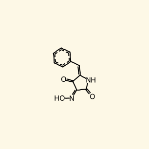 O=C1NC(=Cc2ccccc2)C(=O)C1=NO